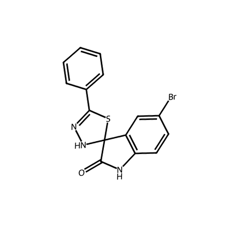 O=C1Nc2ccc(Br)cc2C12NN=C(c1ccccc1)S2